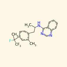 Cc1cc(C(C)(F)C(F)(F)F)ccc1CC(C)Nc1ncnc2ccccc12